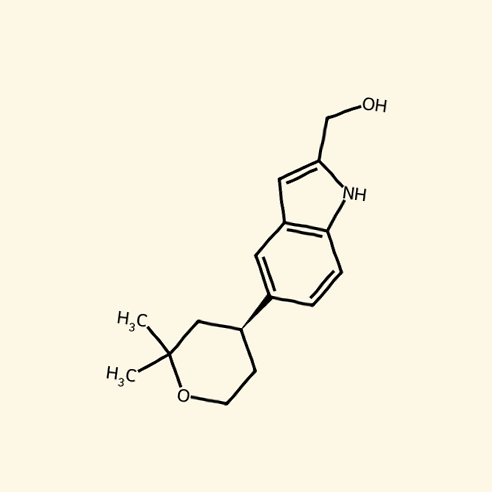 CC1(C)C[C@@H](c2ccc3[nH]c(CO)cc3c2)CCO1